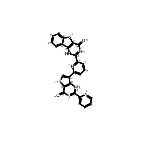 O=c1nc(-c2ccccn2)[nH]c2c(-c3cccc(-c4nc(=O)c5sc6ccccc6c5[nH]4)n3)csc12